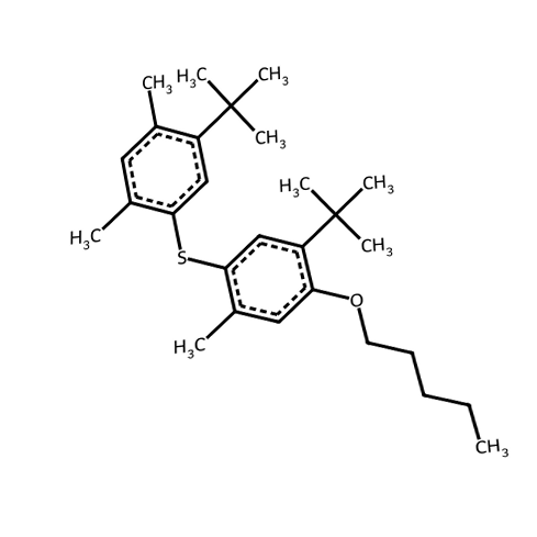 CCCCCOc1cc(C)c(Sc2cc(C(C)(C)C)c(C)cc2C)cc1C(C)(C)C